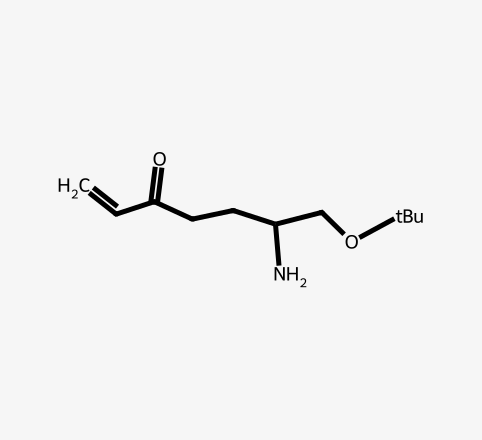 C=CC(=O)CCC(N)COC(C)(C)C